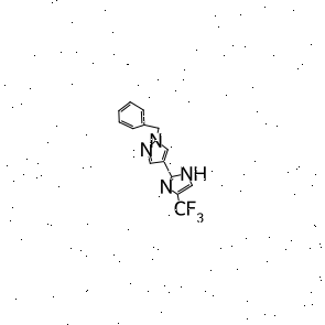 FC(F)(F)c1c[nH]c(-c2cnn(Cc3ccccc3)c2)n1